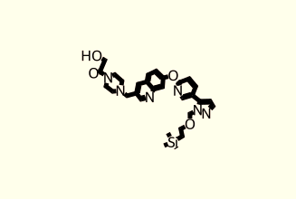 C[Si](C)(C)CCOCn1nccc1-c1ccc(Oc2ccc3cc(CN4CCN(C(=O)CO)CC4)cnc3c2)nc1